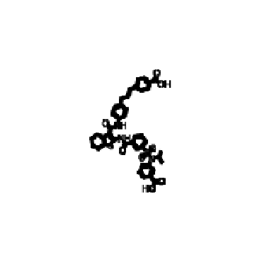 CC(C)N(c1cccc(C(=O)O)c1)S(=O)(=O)c1cccc(C(=O)Nc2sc3c(c2C(=O)Nc2ccc(CCCc4ccc(C(=O)O)cc4)cc2)CCCC3)c1